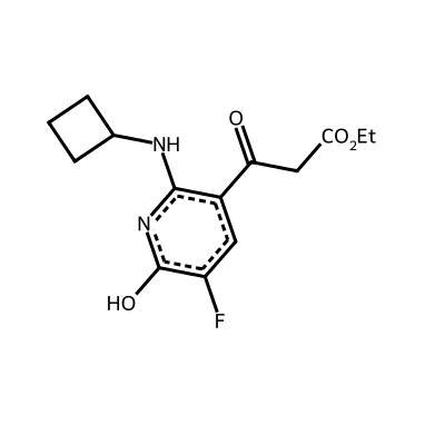 CCOC(=O)CC(=O)c1cc(F)c(O)nc1NC1CCC1